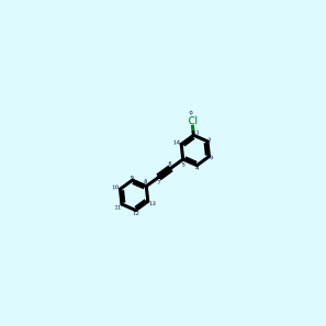 Clc1cccc(C#Cc2ccccc2)c1